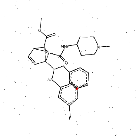 COC(=O)C1=C(C(=O)NC2CCN(C)CC2)C2(C(Cc3ccccc3)Nc3cc(F)cc(F)c3)C=CC1O2